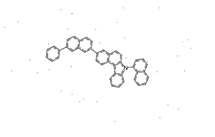 c1ccc(-c2ccc3ccc(-c4ccc5c(ccc6c5c5ccccc5n6-c5cccc6ccccc56)c4)cc3c2)cc1